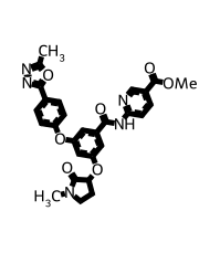 COC(=O)c1ccc(NC(=O)c2cc(Oc3ccc(-c4nnc(C)o4)cc3)cc(OC3CCN(C)C3=O)c2)nc1